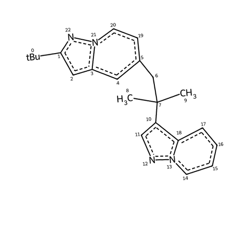 CC(C)(C)c1cc2cc(CC(C)(C)c3cnn4ccccc34)ccn2n1